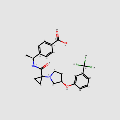 C[C@H](NC(=O)C1(N2CC[C@@H](Oc3cccc(C(F)(F)F)c3)C2)CC1)c1ccc(C(=O)O)cc1